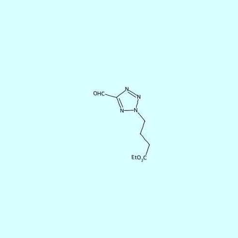 CCOC(=O)CCCn1nnc(C=O)n1